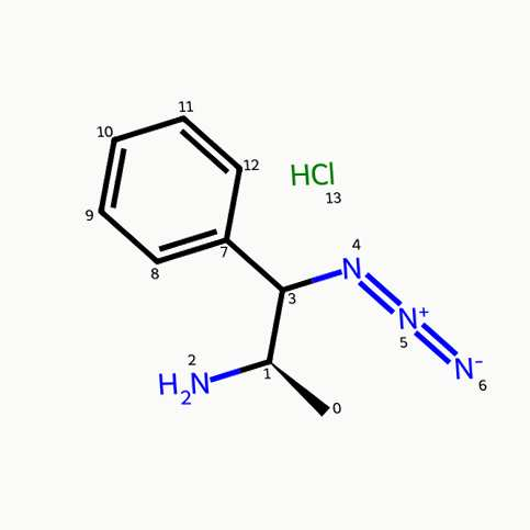 C[C@@H](N)C(N=[N+]=[N-])c1ccccc1.Cl